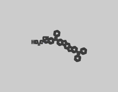 N#C/C(=C\c1ccc(N(C2=CCCC=C2)c2ccc3c(c2)Cc2cc4c(cc2-3)Cc2cc(N(c3ccccc3)c3ccccc3)ccc2-4)cc1)C(=O)O